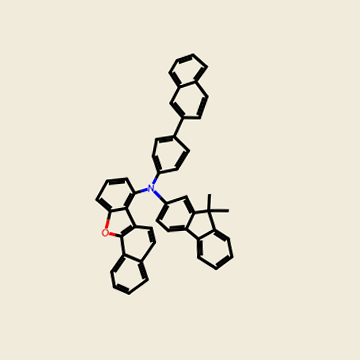 CC1(C)c2ccccc2-c2ccc(N(c3ccc(-c4ccc5ccccc5c4)cc3)c3cccc4oc5c6ccccc6ccc5c34)cc21